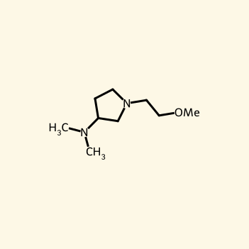 COCCN1CCC(N(C)C)C1